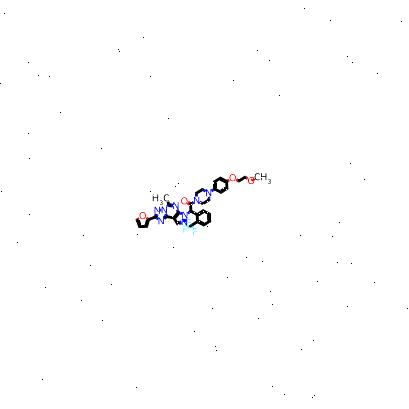 COCCOc1ccc(N2CCN(C(=O)C(c3ccccc3C(F)(F)F)n3ncc4c3nc(C)n3nc(-c5ccco5)nc43)CC2)cc1